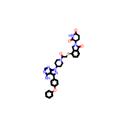 Nc1ncnc2c1c(-c1ccc(Oc3ccccc3)cc1)nn2C1CCN(C(=O)CSc2cccc3c2CN(C2CCC(=O)NC2=O)C3=O)CC1